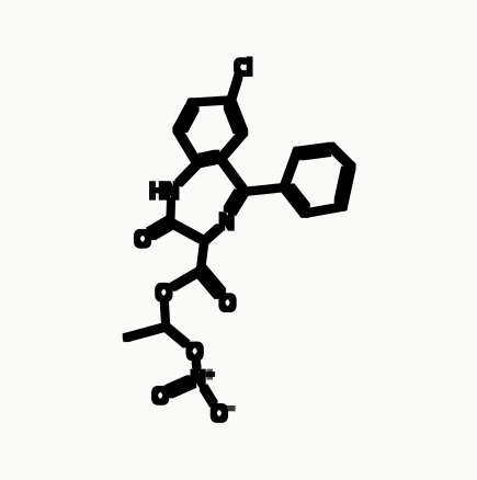 CC(OC(=O)C1N=C(c2ccccc2)c2cc(Cl)ccc2NC1=O)O[N+](=O)[O-]